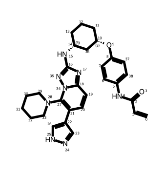 C=CC(=O)Nc1ccc(O[C@H]2CCC[C@@H](Nc3nc4ccc(-c5cn[nH]c5)c(N5CCCCC5)n4n3)C2)cc1